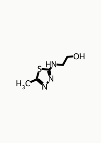 Cc1nnc(NCCO)s1